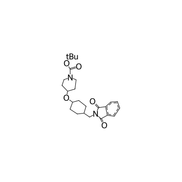 CC(C)(C)OC(=O)N1CCC(OC2CCC(CN3C(=O)c4ccccc4C3=O)CC2)CC1